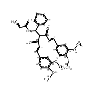 C=CC(=O)NC(c1ccccc1)C(C(=O)/C=C/c1ccc(OC)c(OC)c1)C(=O)/C=C/c1ccc(OC)c(OC)c1